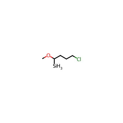 COC([SiH3])CCCCl